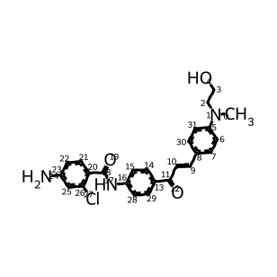 CN(CCO)c1ccc(/C=C/C(=O)c2ccc(NC(=O)c3ccc(N)cc3Cl)cc2)cc1